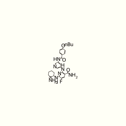 CCCCOc1ccc(C(=O)Nc2cncc(Nc3nc(NC4CCCC[C@@H]4N)c(F)cc3C(N)=O)c2)cc1